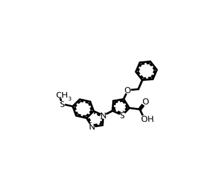 CSc1ccc2c(c1)ncn2-c1cc(OCc2ccccc2)c(C(=O)O)s1